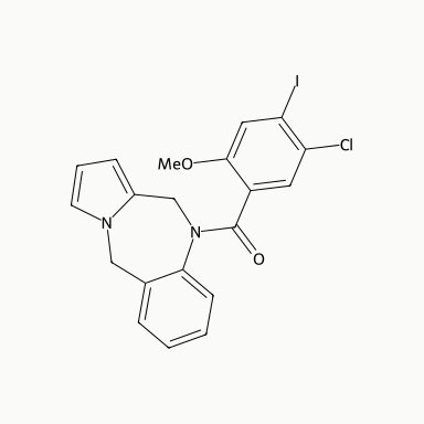 COc1cc(I)c(Cl)cc1C(=O)N1Cc2cccn2Cc2ccccc21